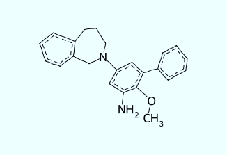 COc1c(N)cc(N2CCCc3ccccc3C2)cc1-c1ccccc1